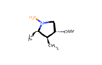 CO[C@H]1CN(P)[C@H](C(C)=O)[C@@H]1C